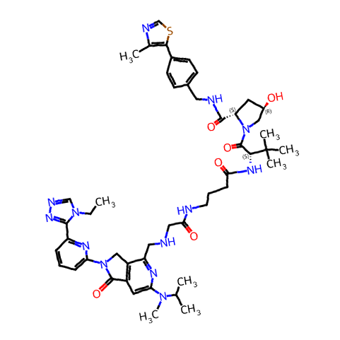 CCn1cnnc1-c1cccc(N2Cc3c(cc(N(C)C(C)C)nc3CNCC(=O)NCCCC(=O)N[C@H](C(=O)N3C[C@H](O)C[C@H]3C(=O)NCc3ccc(-c4scnc4C)cc3)C(C)(C)C)C2=O)n1